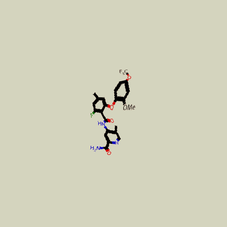 COc1cc(OC(F)(F)F)ccc1Oc1cc(C)cc(F)c1C(=O)Nc1cc(C(N)=O)ncc1C